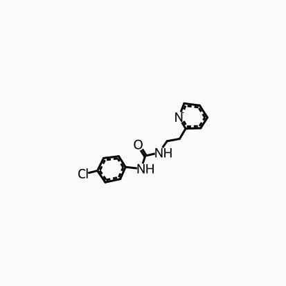 O=C(NCCc1ccccn1)Nc1ccc(Cl)cc1